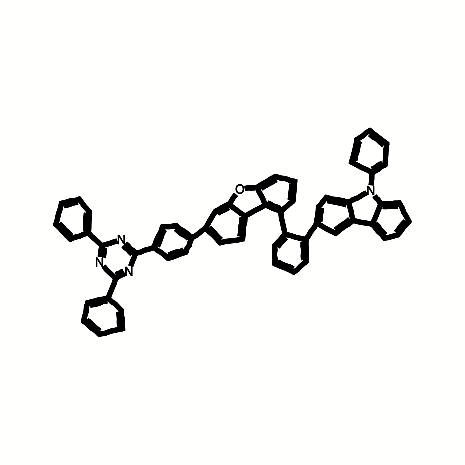 c1ccc(-c2nc(-c3ccccc3)nc(-c3ccc(-c4ccc5c(c4)oc4cccc(-c6ccccc6-c6ccc7c(c6)c6ccccc6n7-c6ccccc6)c45)cc3)n2)cc1